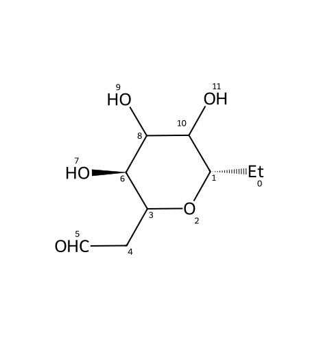 CC[C@@H]1OC(CC=O)[C@@H](O)C(O)C1O